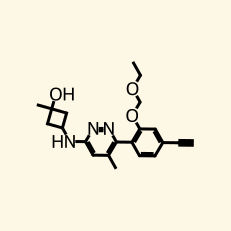 C#Cc1ccc(-c2nnc(NC3CC(C)(O)C3)cc2C)c(OCOCC)c1